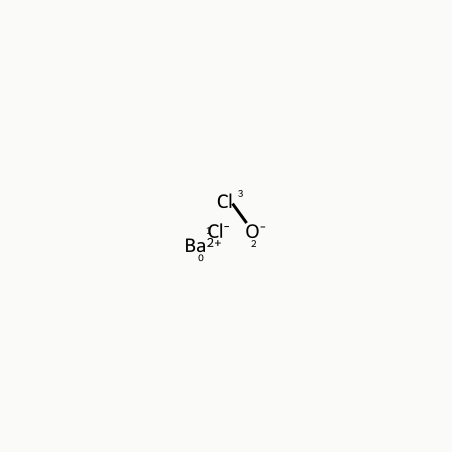 [Ba+2].[Cl-].[O-]Cl